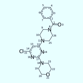 O=C(c1ccccc1)N1CCN(c2cc(Cl)nc(N3CCOCC3)n2)CC1